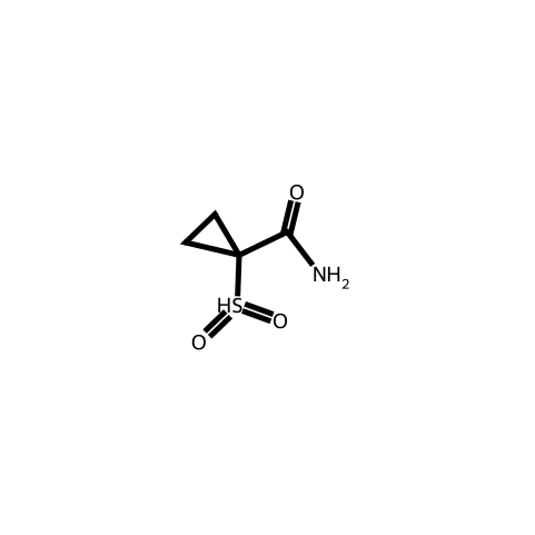 NC(=O)C1([SH](=O)=O)CC1